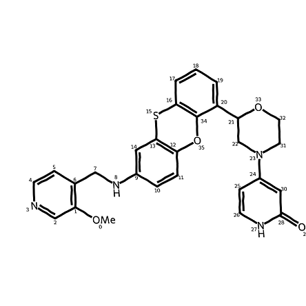 COc1cnccc1CNc1ccc2c(c1)Sc1cccc(C3CN(c4cc[nH]c(=O)c4)CCO3)c1O2